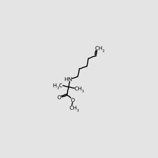 C=CCCCCNC(C)(C)C(=O)OC